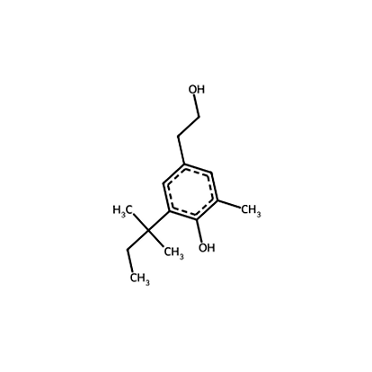 CCC(C)(C)c1cc(CCO)cc(C)c1O